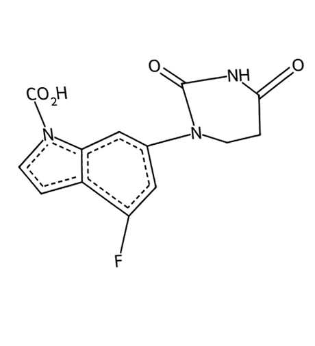 O=C1CCN(c2cc(F)c3ccn(C(=O)O)c3c2)C(=O)N1